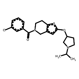 CC(C)N1CCC(Oc2cc3c(s2)CCN(C(=O)c2cccc(Cl)c2)C3)C1